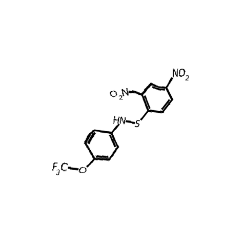 O=[N+]([O-])c1ccc(SNc2ccc(OC(F)(F)F)cc2)c([N+](=O)[O-])c1